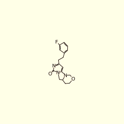 O=c1nc(CCc2cccc(F)c2)cc2n1CC1CCOCN21